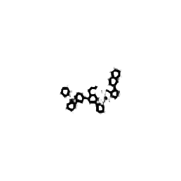 C=C/C=C\c1cc2c(cc1-c1ccc3c(c1)c1ccccc1n3-c1ccccc1)c1ccccc1n2-c1ncc2c(-c3ccc4ccccc4c3)cccc2n1